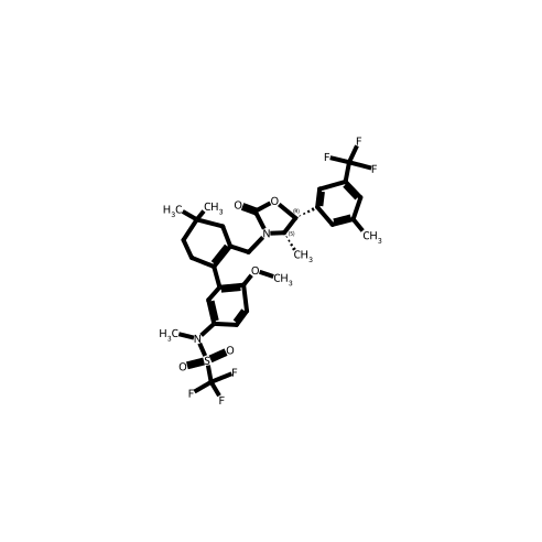 COc1ccc(N(C)S(=O)(=O)C(F)(F)F)cc1C1=C(CN2C(=O)O[C@H](c3cc(C)cc(C(F)(F)F)c3)[C@@H]2C)CC(C)(C)CC1